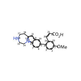 COc1ccc(-c2ccc3c(c2)cc2n3CCNCC2)c(/C=C\C(=O)O)c1